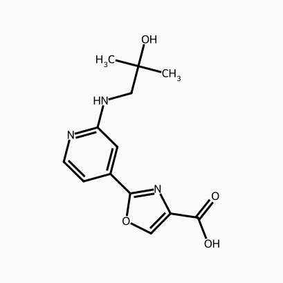 CC(C)(O)CNc1cc(-c2nc(C(=O)O)co2)ccn1